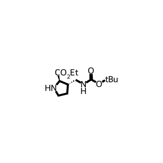 CCOC(=O)[C@@H]1NCC[C@H]1CNC(=O)OC(C)(C)C